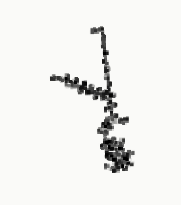 CC[C@H](C)[C@@H]([C@@H](CCN1CCC[C@H]1[C@H](OC)[C@@H](C)C(=O)N[C@@H](Cc1ccccc1)C(=O)NCCCOC(=O)C(C)NC(=O)CC(NC(=O)CCNC(=O)OCC(NC(=O)CNC(=O)CNC(=O)CNC(=O)CNC(=O)CCNC(=O)OCC(C)(C)C)C(=O)NCCOCCOCCOCCOCCOCCOCCOCCOC)C(=O)O)OC)N(C)C(=O)[C@@H](NC(=O)[C@H](C(C)C)N(C)C)C(C)C